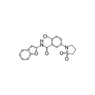 O=C(Nc1cc2ccccc2o1)c1cc(N2CCCS2(=O)=O)ccc1Cl